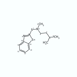 CC(C)CCN(C)Sc1nc2ccccc2s1